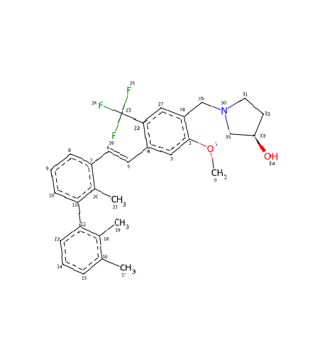 COc1cc(/C=C/c2cccc(-c3cccc(C)c3C)c2C)c(C(F)(F)F)cc1CN1CC[C@@H](O)C1